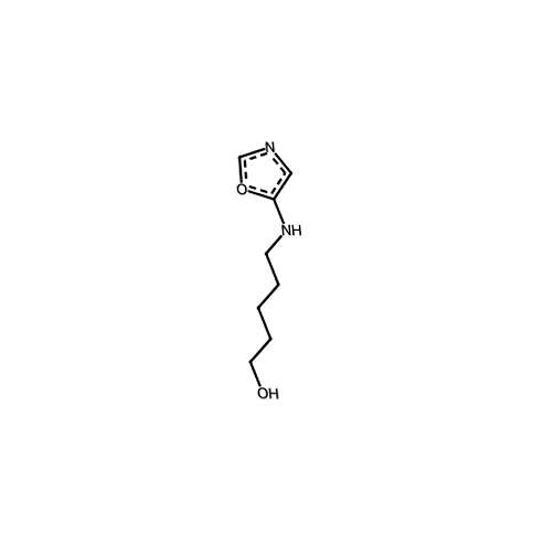 OCCCCCNc1cnco1